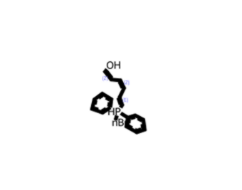 CCCC[PH](/C=C/C=C\C=C/O)(c1ccccc1)c1ccccc1